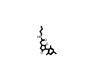 CCCCNC(=O)CC1CC(=O)C(c2c(C)cc(C)cc2C)C1=O